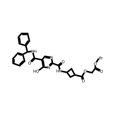 CC(C)OC(=O)COC(=O)C1CC(NC(=O)c2ncc(C(=O)NC(c3ccccc3)c3ccccc3)c(O)n2)C1